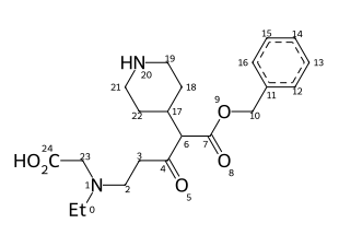 CCN(CCC(=O)C(C(=O)OCc1ccccc1)C1CCNCC1)CC(=O)O